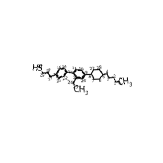 CCCCCC1CCC(c2ccc(-c3ccc(CCCS)cc3)c(CC)c2)CC1